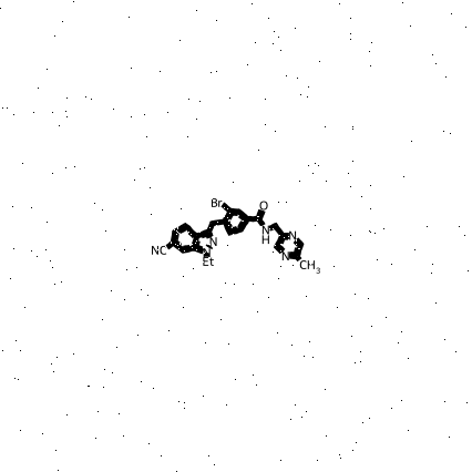 CCn1nc(Cc2ccc(C(=O)NCc3cnc(C)cn3)cc2Br)c2ccc(C#N)cc21